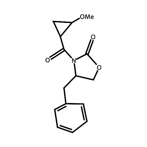 COC1CC1C(=O)N1C(=O)OCC1Cc1ccccc1